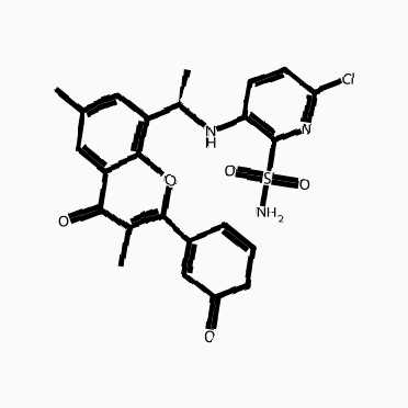 Cc1cc([C@@H](C)Nc2ccc(Cl)nc2S(N)(=O)=O)c2oc(C3=CC(=O)CC=C3)c(C)c(=O)c2c1